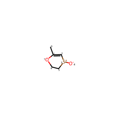 CC1=C[S+]([O-])CCO1